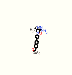 COC(=O)CC1CCC2(CC=C(c3ccc(N4CC(C)(C)c5ncnc(N)c5C4=O)cc3)CC2)CC1